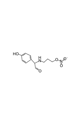 O=CC(NCCCO[N+](=O)[O-])c1ccc(O)cc1